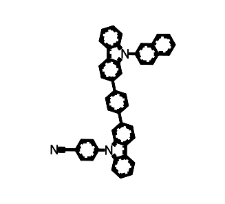 N#Cc1ccc(-n2c3ccccc3c3ccc(-c4ccc(-c5ccc6c7ccccc7n(-c7ccc8ccccc8c7)c6c5)cc4)cc32)cc1